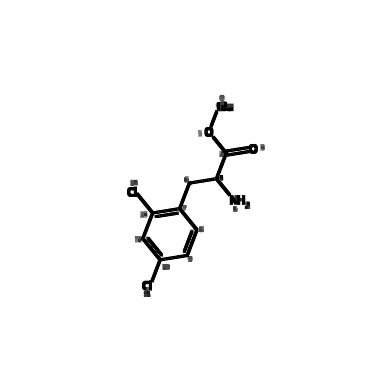 CC(C)(C)OC(=O)C(N)Cc1ccc(Cl)cc1Cl